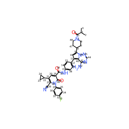 CC(C)C(=O)N1CCC(c2cc(-c3ccc(NC(=O)c4cc(C5CC5)c(C#N)n(-c5ccc(F)cc5)c4=O)cc3)c3c(N)ncnn23)CC1